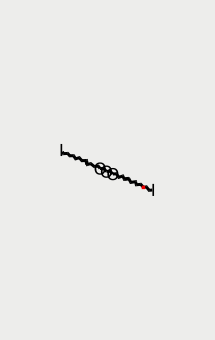 ICCCCCCCC=CCCCOCOCOCCCC=CCCCCCCCI